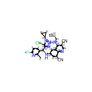 Cc1nc(F)ccc1[C@H](Nc1cc(C#N)c2ncc(C#N)c(NCC(C)(C)C)c2c1)c1nnn(C2CC2)c1Cl